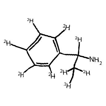 [2H]c1c([2H])c([2H])c(C([2H])(N)C([2H])([2H])[2H])c([2H])c1[2H]